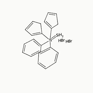 Br.Br.[SiH2]=[Ti]([C]1=CC=CC1)([C]1=CC=CC1)([c]1ccccc1)[c]1ccccc1